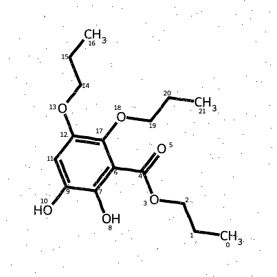 CCCOC(=O)c1c(O)c(O)cc(OCCC)c1OCCC